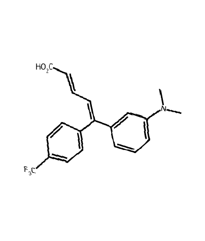 CN(C)c1cccc(C(=CC=CC(=O)O)c2ccc(C(F)(F)F)cc2)c1